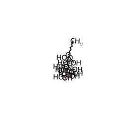 C=CCCCCCCO[C@@H]1OC(CO)[C@@H](O[C@@H]2OC(CO)[C@H](O)C(O[C@H]3CC(CO)[C@H](O)C(O)C3O)C2O[C@@H]2OC(C)[C@@H](O)C(O)C2O)C(O)C1O